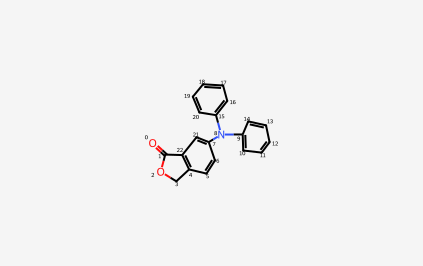 O=C1OCc2ccc(N(c3ccccc3)c3ccccc3)cc21